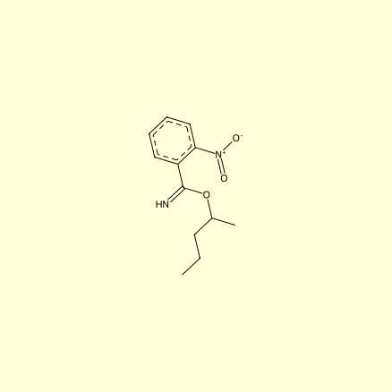 CCCC(C)OC(=N)c1ccccc1[N+](=O)[O-]